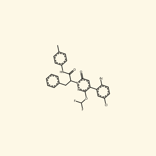 CC(=O)c1ccc(Cl)cc1-c1cc(=O)n(C(Cc2ccccc2)C(=O)Nc2ccc(C)cc2)nc1OC(F)F